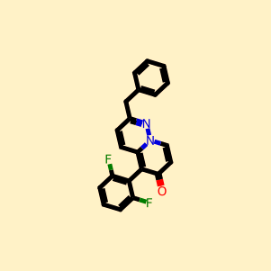 O=c1ccn2nc(Cc3ccccc3)ccc2c1-c1c(F)cccc1F